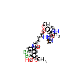 COc1cc2c(cc1OCCCCCCCCN1C(=O)C(=Cc3cc(Br)c(O)c(OC)c3)c3cc(Br)ccc31)C(C)(CC(=O)Nc1nccs1)NCC2